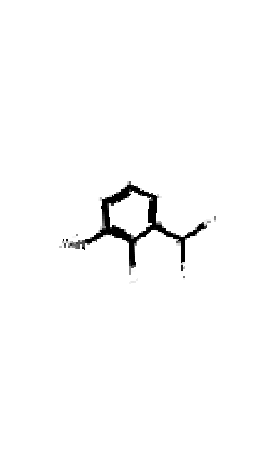 CNc1cccc(C(F)F)c1F